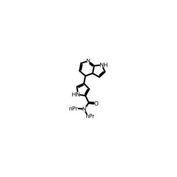 CCCN(CCC)C(=O)c1cc(C2C=CN=C3NC=CC32)c[nH]1